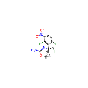 NC1=NC(CF)(c2c(F)ccc([N+](=O)[O-])c2F)C2C[C@H]2O1